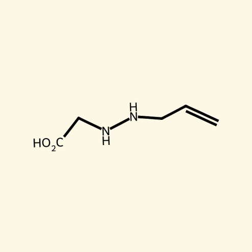 C=CCNNCC(=O)O